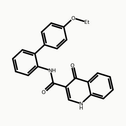 CCOc1ccc(-c2ccccc2NC(=O)c2c[nH]c3ccccc3c2=O)cc1